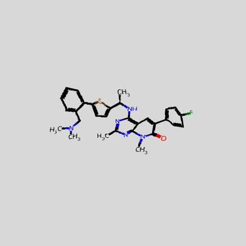 Cc1nc(N[C@H](C)c2ccc(-c3ccccc3CN(C)C)s2)c2cc(-c3ccc(F)cc3)c(=O)n(C)c2n1